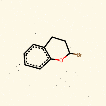 Br[C]1CCc2ccccc2O1